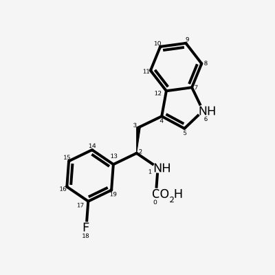 O=C(O)N[C@H](Cc1c[nH]c2ccccc12)c1cccc(F)c1